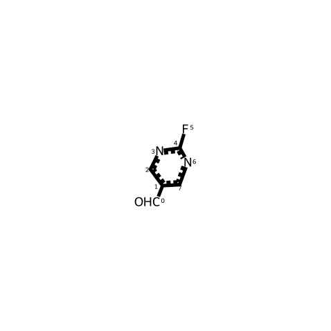 O=Cc1cnc(F)nc1